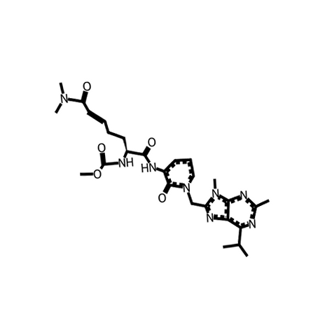 COC(=O)N[C@@H](CC/C=C/C(=O)N(C)C)C(=O)Nc1cccn(Cc2nc3c(C(C)C)nc(C)nc3n2C)c1=O